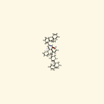 C=C/C=C(\C=C\C1CC=CC=C1N(C1=CC=C(C2=c3ccccc3=CCC2)CC1)c1ccccc1)c1ccccc1Nc1ccccc1